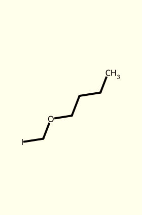 CCCCOCI